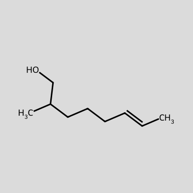 CC=CCCCC(C)CO